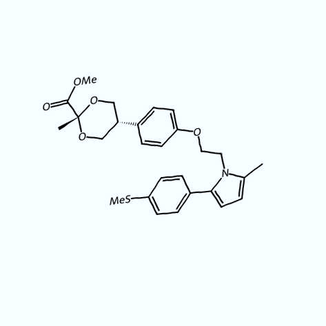 COC(=O)[C@]1(C)OC[C@H](c2ccc(OCCn3c(C)ccc3-c3ccc(SC)cc3)cc2)CO1